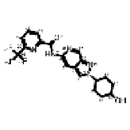 O=C(Nc1cc2cn(C3CCC(O)CC3)nc2cn1)c1cccc(C(F)(F)F)n1